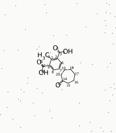 Cc1c(C(=O)O)cccc1C(=O)O.O=C1CCCCCC1